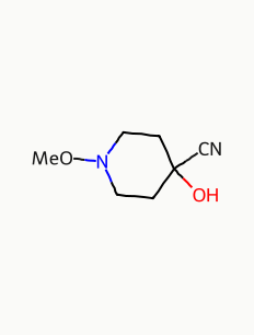 CON1CCC(O)(C#N)CC1